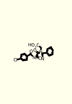 O=C(O)Cn1c(-c2ccccc2)ncc(NC(=O)c2ccc(Cl)cc2)c1=O